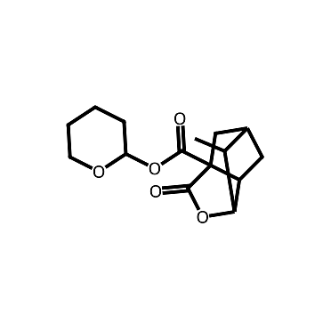 CC1C2CC3C1OC(=O)C3(C(=O)OC1CCCCO1)C2